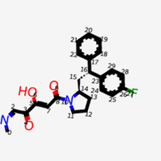 C/N=C\C(=O)/C(O)=C/C(=O)N1CCC[C@@H]1C[C@H](c1ccccc1)c1ccc(F)cc1